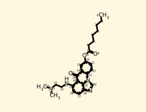 CCCCCCCC(=O)Oc1ccc2c(c1)c(=O)c1c(NCCN(C)C)ccc3ncn2c31